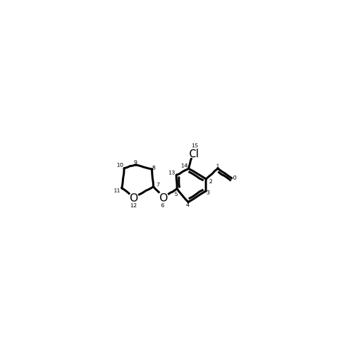 C=Cc1ccc(OC2CCCCO2)cc1Cl